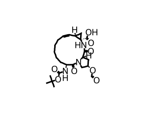 CC(C)(C)OC(=O)N[C@H]1CCCCC/C=C\[C@@H]2C[C@@]2(C(=O)O)NC(=O)[C@@H]2C[C@@H](OC=O)CN2C1=O